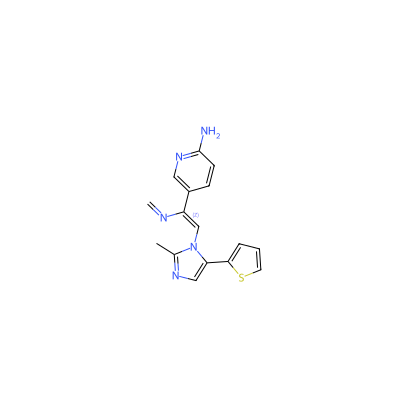 C=N/C(=C\n1c(-c2cccs2)cnc1C)c1ccc(N)nc1